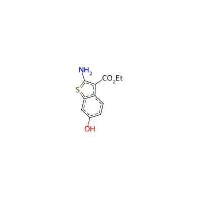 CCOC(=O)c1c(N)sc2cc(O)ccc12